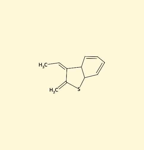 C=C1SC2C=CC=CC2/C1=C/C